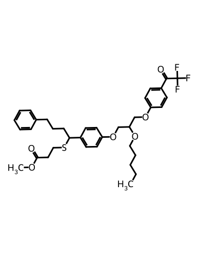 CCCCCOC(COc1ccc(C(=O)C(F)(F)F)cc1)COc1ccc(C(CCCc2ccccc2)SCCC(=O)OC)cc1